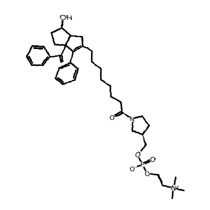 C=C(c1ccccc1)C12CCC(O)C1CC(CCCCCCCC(=O)N1CC[C@@H](COP(=O)([O-])OCC[N+](C)(C)C)C1)=C2c1ccccc1